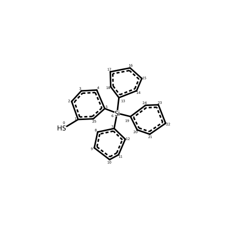 Sc1cccc([Si](c2ccccc2)(c2ccccc2)c2ccccc2)c1